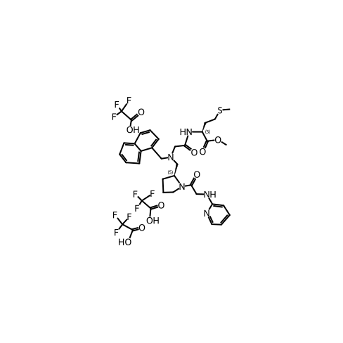 COC(=O)[C@H](CCSC)NC(=O)CN(Cc1cccc2ccccc12)C[C@@H]1CCCN1C(=O)CNc1ccccn1.O=C(O)C(F)(F)F.O=C(O)C(F)(F)F.O=C(O)C(F)(F)F